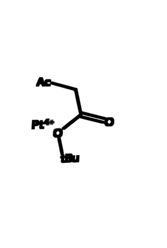 CC(=O)CC(=O)OC(C)(C)C.[Pt+4]